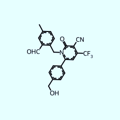 Cc1ccc(Cn2c(-c3ccc(CO)cc3)cc(C(F)(F)F)c(C#N)c2=O)c(C=O)c1